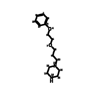 c1ccc(OCCOCCCN2CCNCC2)cc1